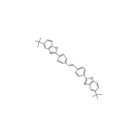 CC(C)(C)c1ccc2oc(-c3ccc(/C=C/c4ccc(-c5nc6cc(C(C)(C)C)ccc6o5)cc4)cc3)nc2c1